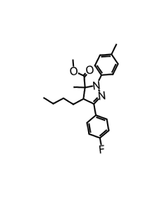 CCCCC1C(c2ccc(F)cc2)=NN(c2ccc(C)cc2)C1(C)C(=O)OC